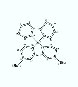 CC(C)(C)c1ccc([Si](c2ccccc2)(c2ccccc2)c2ccc(C(C)(C)C)cc2)cc1